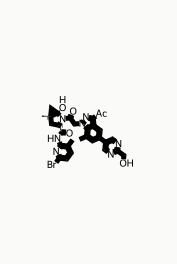 CC(=O)c1nn(CC(=O)N2[C@H](C(=O)Nc3nc(Br)ccc3C)C[C@@]3(C)C[C@@]23O)c2c(C)cc(-c3cnc(CO)nc3)cc12